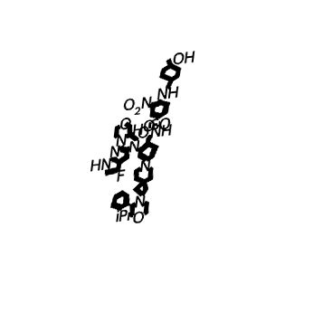 CC(C)c1ccccc1[C@@H]1COCCN1C1CC2(CCN(c3ccc(C(=O)NS(=O)(=O)c4ccc(NCC5CCC(C)(O)CC5)c([N+](=O)[O-])c4)c(N4C[C@@H]5COCCN5c5nc6[nH]cc(F)c6cc54)c3)CC2)C1